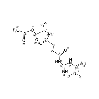 CC(C)C(NC(=O)CCC(=O)NC(=N)NC(=N)N(C)C)C(=O)OC(=O)C(F)(F)F